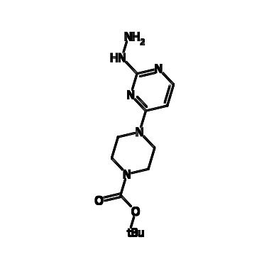 CC(C)(C)OC(=O)N1CCN(c2ccnc(NN)n2)CC1